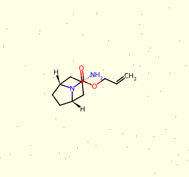 C=CCOC(=O)N1[C@@H]2CC[C@H]1C[C@@H](N)C2